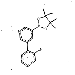 CC1(C)OB(c2cncc(-c3ccccc3F)c2)OC1(C)C